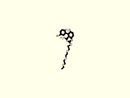 CCOCCOCCOCCOc1nc(N)c2c(-c3cccc(Br)c3)c(N)ccc2n1